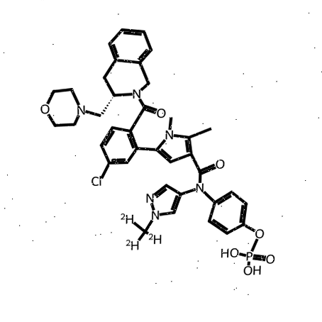 [2H]C([2H])([2H])n1cc(N(C(=O)c2cc(-c3cc(Cl)ccc3C(=O)N3Cc4ccccc4C[C@H]3CN3CCOCC3)n(C)c2C)c2ccc(OP(=O)(O)O)cc2)cn1